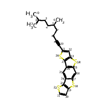 CC(C)CCC(C)CCC#Cc1cc2sc3cc4sc5ccsc5c4cc3c2s1